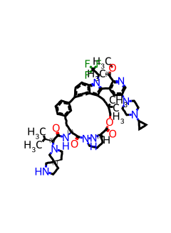 CO[C@@H](C)c1ncc(N2CCN(C3CC3)CC2)cc1-c1c2c3cc(ccc3n1CC(F)(F)F)-c1cccc(c1)C[C@H](NC(=O)[C@H](C(C)C)N1CC[C@]3(CCNC3)C1)C(=O)N1CCC[C@H](N1)C(=O)OCC(C)(C)C2